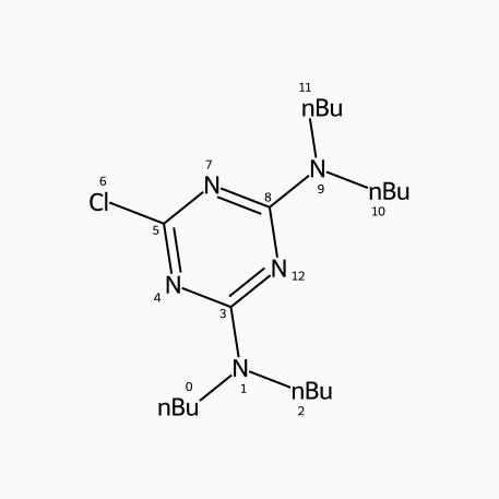 CCCCN(CCCC)c1nc(Cl)nc(N(CCCC)CCCC)n1